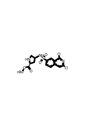 CCCCOC(=O)[C@@H]1CC(NS(=O)(=O)c2ccc3cc(Cl)nc(Cl)c3c2)CN1